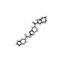 O=C(Nc1cc2n(n1)CCN(C(=O)c1cc3ccccc3[nH]1)C2)C1CCn2ccnc2C1